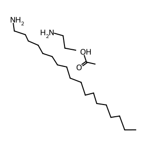 CC(=O)O.CCCCCCCCCCCCCCCCCCN.CCCN